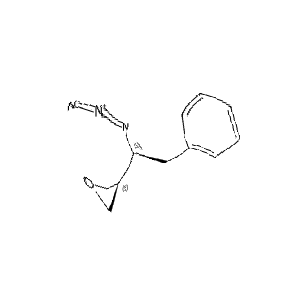 [N-]=[N+]=N[C@@H](Cc1ccccc1)[C@H]1CO1